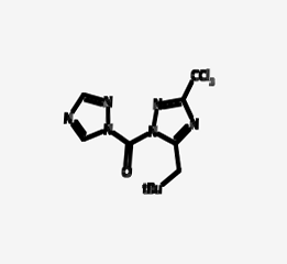 CC(C)(C)Cc1nc(C(Cl)(Cl)Cl)nn1C(=O)n1cncn1